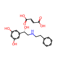 O=C(O)/C=C/C(=O)O.Oc1cc(O)cc([C@H](O)CNCCc2ccccc2)c1